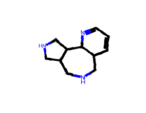 C1=CC2CNCC3CNCC3C2N=C1